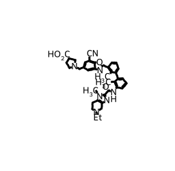 CCN1CCc2c(nc(C(=O)Nc3cccc(-c4cccc(-c5nc6cc(CN7CCC(C(=O)O)C7)cc(C#N)c6o5)c4C)c3C)n2C)C1